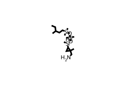 CCC(C)CC[Si](C)(C)O[Si](C)(C)O[SiH](C)C1CC1(C)CN